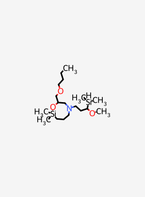 CCCCOCC1CN(CCC(OC)[SiH](C)C)CCC[Si](C)(C)O1